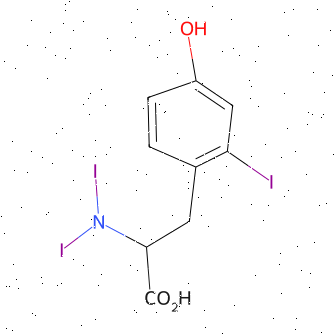 O=C(O)C(Cc1ccc(O)cc1I)N(I)I